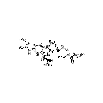 CC(C)OC(=O)Nc1ccc(-c2cnc(N3CCC(C(=O)OC(C)C)CC3)s2)c(S(=O)(=O)NC(C)(C)C)c1